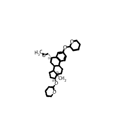 COC[C@H]1CC2C(CC[C@@]3(C)C2CC[C@@H]3OC2CCCCO2)c2ccc(OC3CCCCO3)cc21